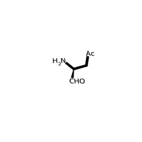 CC(=O)C[C@H](N)C=O